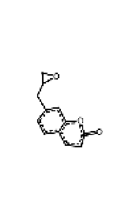 O=c1ccc2ccc(CC3CO3)cc2o1